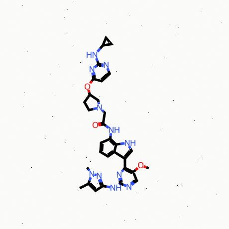 COc1cnc(Nc2cc(C)n(C)n2)nc1-c1c[nH]c2c(NC(=O)CN3CCC(Oc4ccnc(NC5CC5)n4)C3)cccc12